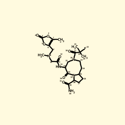 Cc1oc(=O)oc1CN(C)CC(=O)NC1CN(C(=O)C(C)(C)F)CCC2CCC(C(N)=O)N2C1=O